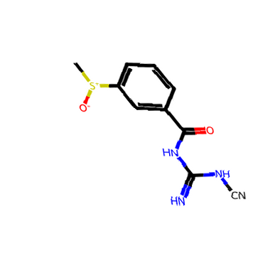 C[S+]([O-])c1cccc(C(=O)NC(=N)NC#N)c1